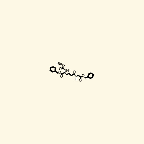 CC(C)(C)OC(=O)N[C@@H](CCCC(=O)NCC(=O)OCc1ccccc1)C(=O)OCc1ccccc1